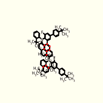 CC(C)(C)c1ccc(-c2cc(F)c(N(c3ccccc3C(C)(C)C)c3ccc4ccc5c(N(c6ccccc6C(C)(C)C)c6c(F)cc(-c7ccc(C(C)(C)C)cc7)cc6-c6ccc([Si](C)(C)C)cc6)ccc6ccc3c4c65)c(-c3ccc(C(C)(C)C)cc3)c2)cc1